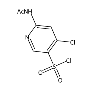 CC(=O)Nc1cc(Cl)c(S(=O)(=O)Cl)cn1